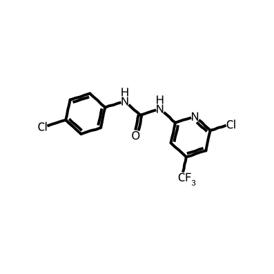 O=C(Nc1ccc(Cl)cc1)Nc1cc(C(F)(F)F)cc(Cl)n1